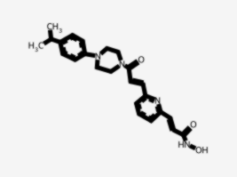 CC(C)c1ccc(N2CCN(C(=O)C=Cc3cccc(C=CC(=O)NO)n3)CC2)cc1